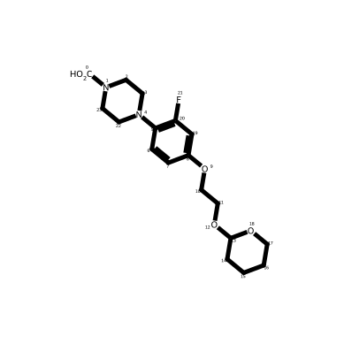 O=C(O)N1CCN(c2ccc(OCCOC3CCCCO3)cc2F)CC1